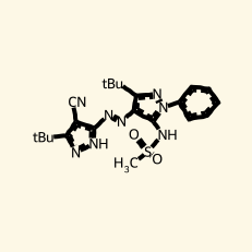 CC(C)(C)c1n[nH]c(/N=N/c2c(C(C)(C)C)nn(-c3ccccc3)c2NS(C)(=O)=O)c1C#N